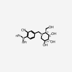 [C-]#[N+]c1cc(CN2C[C@H](O)[C@@H](O)[C@@H](O)[C@@H]2CO)ccc1N(CCC)CCC